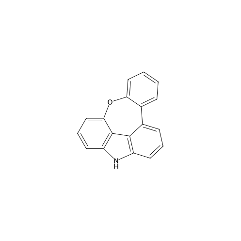 c1ccc2c(c1)oc1cccc3[nH]c4cccc2c4c31